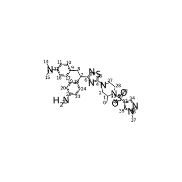 CC1CN(c2nc(C(Cc3ccc(N(C)C)cc3)c3ccc(N)cc3)ns2)CCN1S(=O)(=O)c1cnn(C)c1